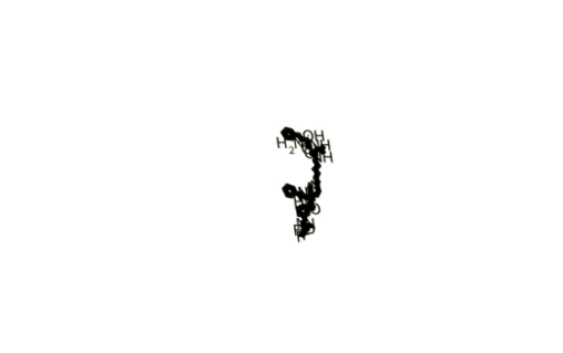 CC(C)[C@H](NC(=O)[C@@H](O)[C@H](N)Cc1ccccc1)C(=O)NCCCCCCN1CCC(CNC(=O)c2cccc(-c3noc(C(F)(F)F)n3)c2)(c2nc(-c3ccccc3)cs2)CC1